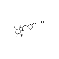 O=C(O)CCc1cccc(Cc2nc3c(F)c(F)cc(F)c3s2)c1